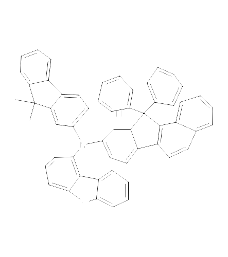 CC1(C)c2ccccc2-c2ccc(N(C3=CC=C4c5ccc6ccccc6c5C(c5ccccc5)(c5ccccc5)[C@@H]4C3)c3cccc4oc5ccccc5c34)cc21